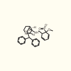 COC1([N+](=O)[O-])C=CC=CC1CN[C@@H]1C2CCN(CC2)[C@H]1C(c1ccccc1)c1ccccc1